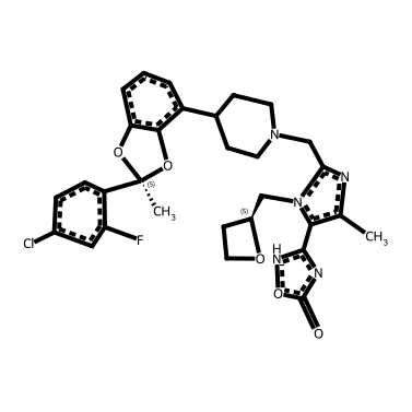 Cc1nc(CN2CCC(c3cccc4c3O[C@@](C)(c3ccc(Cl)cc3F)O4)CC2)n(C[C@@H]2CCO2)c1-c1nc(=O)o[nH]1